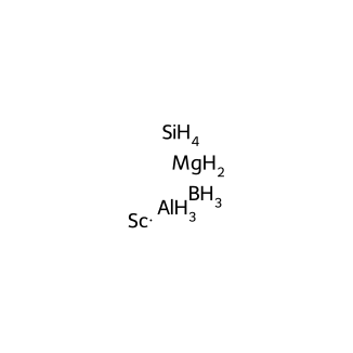 B.[AlH3].[MgH2].[Sc].[SiH4]